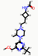 COCc1cc(N2CCN(CCC3CC(NC(C)=O)C3)CC2C)nc(C(C)(C)C)n1